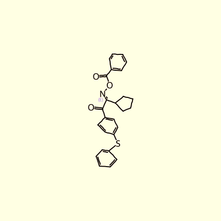 O=C(O/N=C(/C(=O)c1ccc(Sc2ccccc2)cc1)C1CCCC1)c1ccccc1